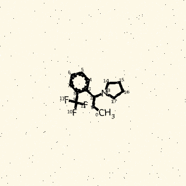 CCC(c1ccc[c]c1C(F)(F)F)N1CCCC1